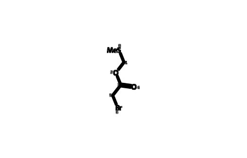 CSCOC(=O)CBr